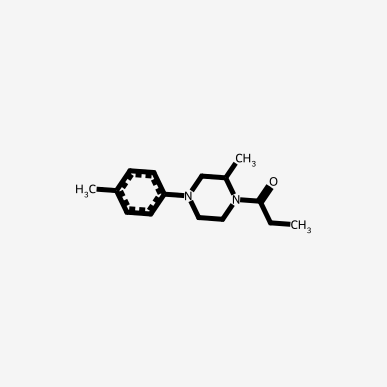 CCC(=O)N1CCN(c2ccc(C)cc2)CC1C